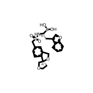 O=S(=O)(Cc1ccc2c(c1)CO[C@]21CCOC1)N[C@@H](Cc1coc2ccccc12)B(O)O